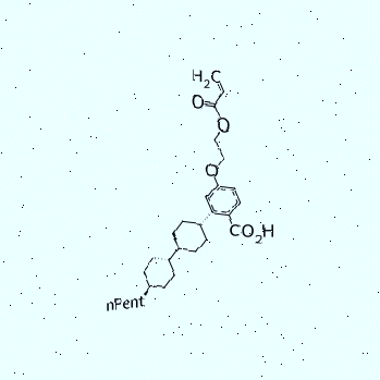 C=CC(=O)OCCOc1ccc(C(=O)O)c([C@H]2CC[C@H]([C@H]3CC[C@H](CCCCC)CC3)CC2)c1